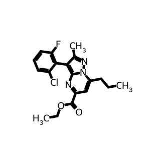 CCCc1cc(C(=O)OCC)nc2c(-c3c(F)cccc3Cl)c(C)nn12